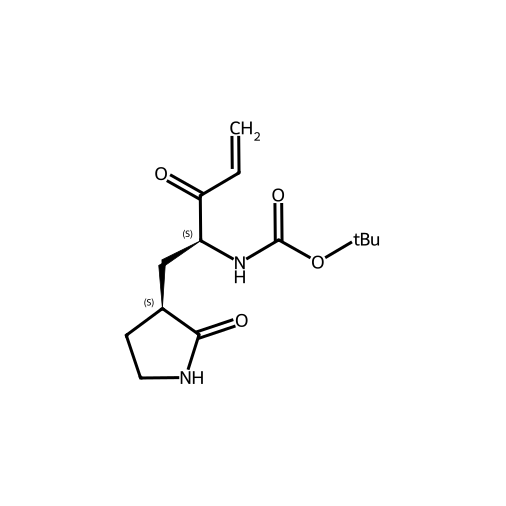 C=CC(=O)[C@H](C[C@@H]1CCNC1=O)NC(=O)OC(C)(C)C